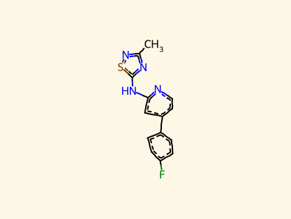 Cc1nsc(Nc2cc(-c3ccc(F)cc3)ccn2)n1